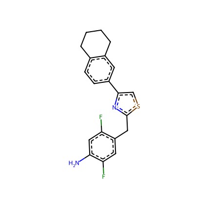 Nc1cc(F)c(Cc2nc(-c3ccc4c(c3)CCCC4)cs2)cc1F